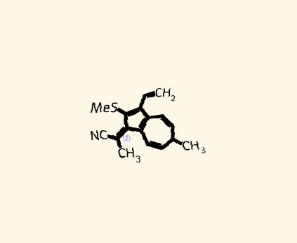 C=CC1=C(SC)/C(=C(/C)C#N)C2=C1C=CC(C)C=C2